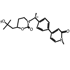 C[C@@H](c1ccc(-c2ccn(C)c(=O)c2)cc1)N1CCC(CC(C)(C)O)OC1=O